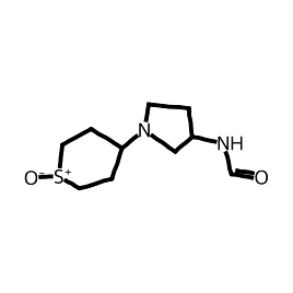 O=CNC1CCN(C2CC[S+]([O-])CC2)C1